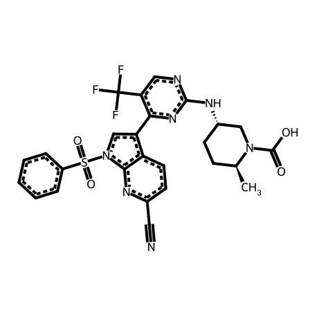 C[C@H]1CC[C@H](Nc2ncc(C(F)(F)F)c(-c3cn(S(=O)(=O)c4ccccc4)c4nc(C#N)ccc34)n2)CN1C(=O)O